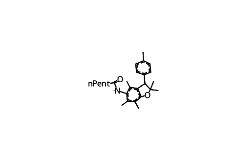 CCCCCC(=O)[N]c1c(C)c(C)c2c(c1C)C(c1ccc(C)cc1)C(C)(C)O2